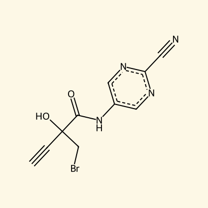 C#CC(O)(CBr)C(=O)Nc1cnc(C#N)nc1